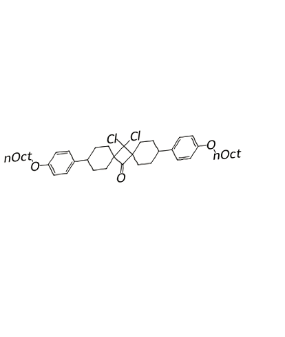 CCCCCCCCOc1ccc(C2CCC3(CC2)C(=O)C2(CCC(c4ccc(OCCCCCCCC)cc4)CC2)C3(Cl)Cl)cc1